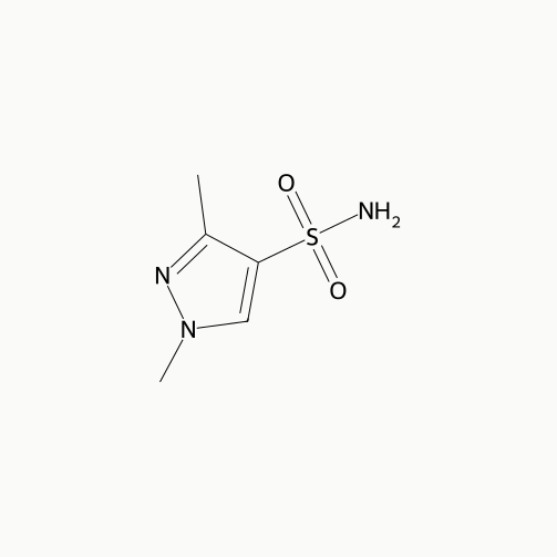 Cc1nn(C)cc1S(N)(=O)=O